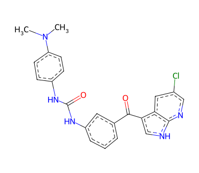 CN(C)c1ccc(NC(=O)Nc2cccc(C(=O)c3c[nH]c4ncc(Cl)cc34)c2)cc1